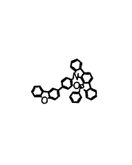 O=P1(c2ccccc2)c2ccccc2-c2ccc3c4ccccc4n(-c4ccc(-c5ccc6oc7ccccc7c6c5)cc4)c3c21